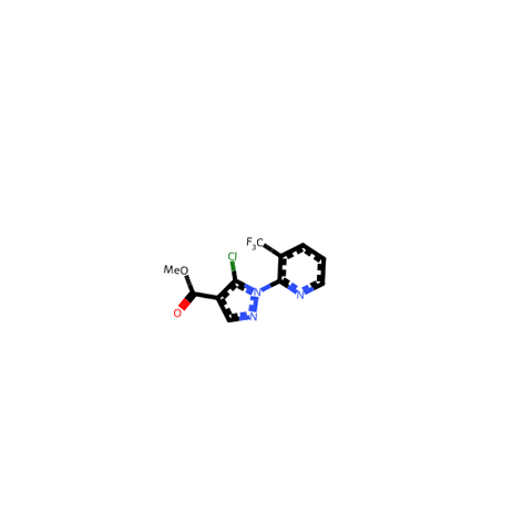 COC(=O)c1cnn(-c2ncccc2C(F)(F)F)c1Cl